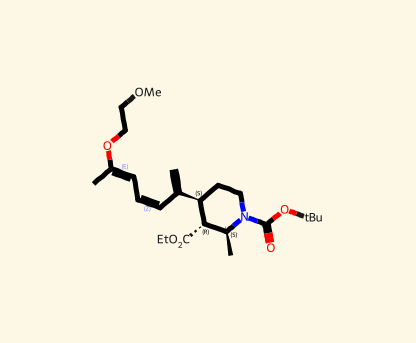 C=C(/C=C\C=C(/C)OCCOC)[C@H]1CCN(C(=O)OC(C)(C)C)[C@@H](C)[C@@H]1C(=O)OCC